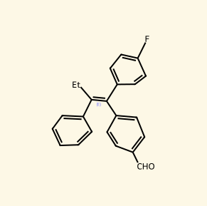 CC/C(=C(\c1ccc(F)cc1)c1ccc(C=O)cc1)c1ccccc1